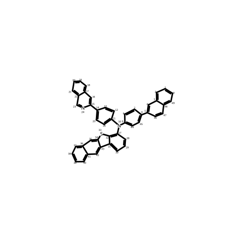 c1ccc2cc(-c3ccc(N(c4ccc(-c5cc6ccccc6cn5)cc4)c4cccc5c4sc4cc6ccccc6cc45)cc3)ccc2c1